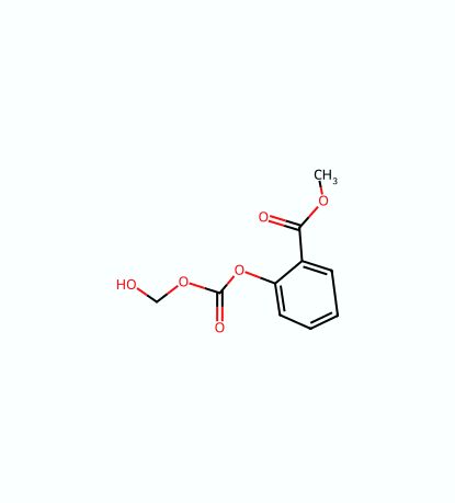 COC(=O)c1ccccc1OC(=O)OCO